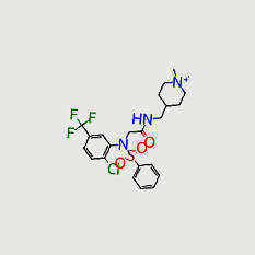 C[N+]1(C)CCC(CNC(=O)CN(c2cc(C(F)(F)F)ccc2Cl)S(=O)(=O)c2ccccc2)CC1